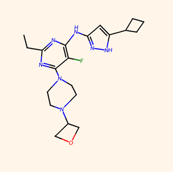 CCc1nc(Nc2cc(C3CCC3)[nH]n2)c(F)c(N2CCN(C3COC3)CC2)n1